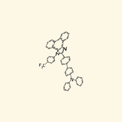 FC(F)(F)c1ccc(-n2c(-c3ccc(-c4ccc(N(c5ccccc5)c5ccccc5)cc4)cc3)nc3c4ccccc4c4ccccc4c32)cc1